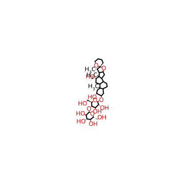 C[C@H]1C2C(CC3C4CCC5C[C@@H](O[C@@H]6O[C@H](CO)[C@H](O[C@@H]7O[C@H](CO)[C@@H](O)[C@H](O)[C@H]7O)[C@H](O)[C@H]6O)[C@H](O)C[C@]5(C)C4C[C@H](O)[C@@]32C)O[C@]12CCCCO2